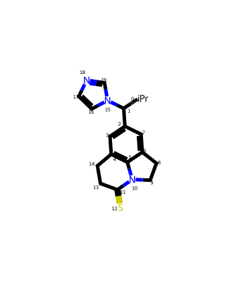 CC(C)C(c1cc2c3c(c1)CCN3C(=S)CC2)n1ccnc1